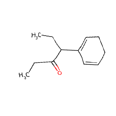 CCC(=O)C(CC)C1=CCCC=C1